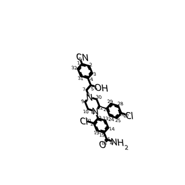 N#Cc1ccc(C(O)CN2CCN(c3ccc(C(N)=O)cc3Cl)[C@H](c3ccc(Cl)cc3)C2)cc1